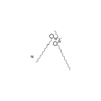 CCCCCCCCCCC=CCCc1ccccc1N=C(C)C(CCCC)=Nc1ccccc1CCC=CCCCCCCCCCC.[Ni]